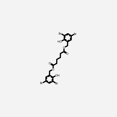 O=C(CCCCC(=O)OCc1cc(Br)cc(Br)c1O)OCc1cc(Br)cc(Br)c1O